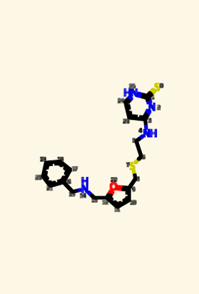 S=c1nc(NCCSCc2ccc(CNCc3ccccc3)o2)cc[nH]1